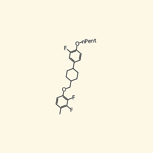 CCCCCOc1ccc(C2CCC(COc3ccc(C)c(F)c3F)CC2)cc1F